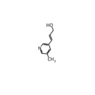 Cc1cncc(/C=C/CO)c1